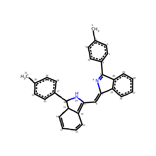 Cc1ccc(C2=N/C(=C\C3=C4C=CC=CC4C(c4ccc(C)cc4)N3)c3ccccc32)cc1